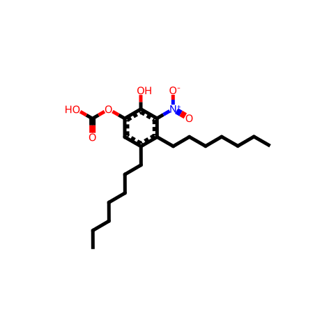 CCCCCCCc1cc(OC(=O)O)c(O)c([N+](=O)[O-])c1CCCCCCC